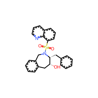 O=S(=O)(c1cccc2cccnc12)N1Cc2ccccc2C[C@@H](O)[C@H]1Cc1ccccc1